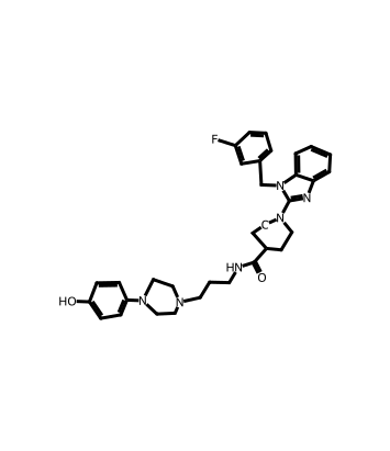 O=C(NCCCN1CCN(c2ccc(O)cc2)CC1)C1CCN(c2nc3ccccc3n2Cc2cccc(F)c2)CC1